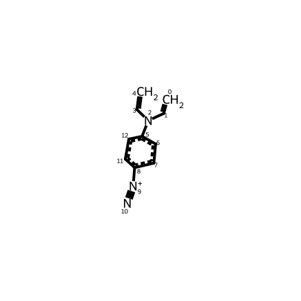 C=CN(C=C)c1ccc([N+]#N)cc1